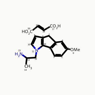 COc1ccc2c(c1)Cc1ccn(CC(C)N)c1-2.O=C(O)C=CC(=O)O